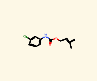 CC(C)=CCOC(=O)Nc1c[c]cc(Cl)c1